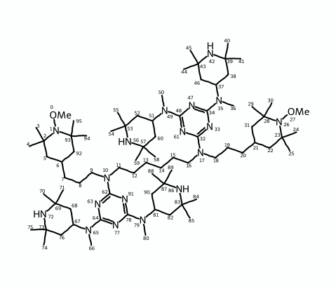 CON1C(C)(C)CC(CCCN(CCCCCCN(CCCC2CC(C)(C)N(OC)C(C)(C)C2)c2nc(N(C)C3CC(C)(C)NC(C)(C)C3)nc(N(C)C3CC(C)(C)NC(C)(C)C3)n2)c2nc(N(C)C3CC(C)(C)NC(C)(C)C3)nc(N(C)C3CC(C)(C)NC(C)(C)C3)n2)CC1(C)C